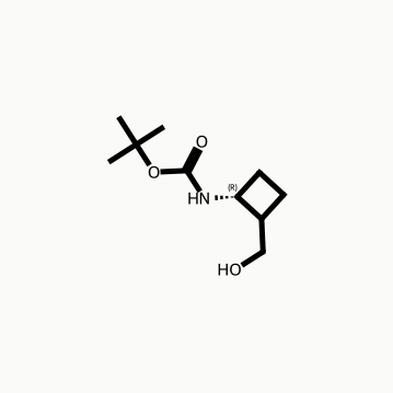 CC(C)(C)OC(=O)N[C@@H]1CCC1CO